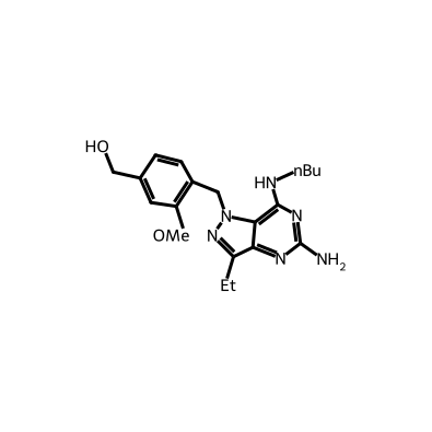 CCCCNc1nc(N)nc2c(CC)nn(Cc3ccc(CO)cc3OC)c12